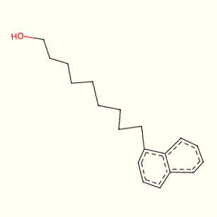 OCCCCCCCCCc1cccc2ccccc12